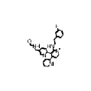 CN1CC=C(C2C=CCCN2)C(c2ccc(CNC=O)cn2)=C1NCCc1cccc(F)c1